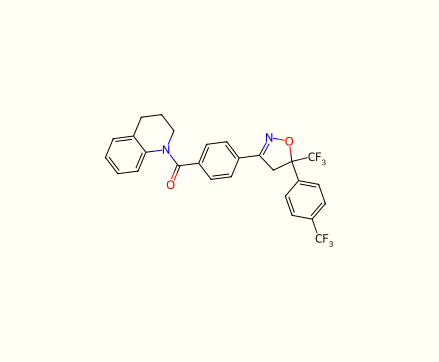 O=C(c1ccc(C2=NOC(c3ccc(C(F)(F)F)cc3)(C(F)(F)F)C2)cc1)N1CCCc2ccccc21